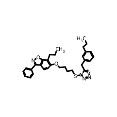 CCCc1cccc(Cc2nnnn2SCCCCOc2ccc3c(-c4ccccc4)noc3c2CCC)c1